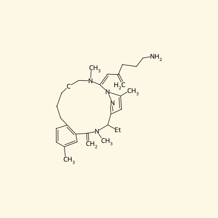 C=C(/C=C1/N(C)CCCCCc2ccc(C)cc2C(=C)N(C)C(CC)c2cc(C)n1n2)CCCN